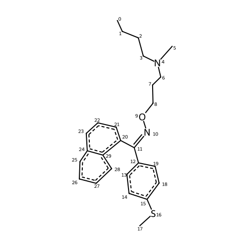 CCCCN(C)CCCO/N=C(/c1ccc(SC)cc1)c1cccc2ccccc12